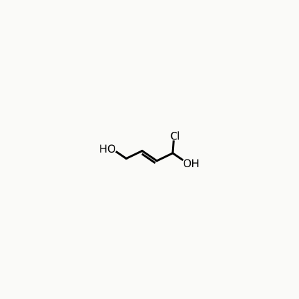 OCC=CC(O)Cl